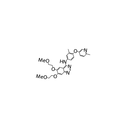 COCCOc1cc2ncnc(Nc3ccc(Oc4ccc(C)nc4)c(C)c3)c2cc1OCCOC